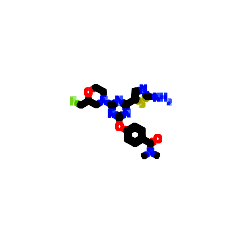 CN(C)C(=O)c1ccc(Oc2nc(-c3cnc(N)s3)nc(N3CCOC(CF)C3)n2)cc1